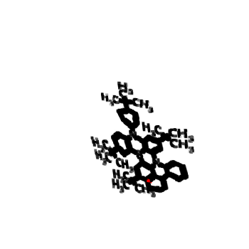 CC(C)(C)c1ccc(N2c3ccc(C(C)(C)C)cc3B3c4cc(C(C)(C)C)ccc4N(c4ccccc4-c4ccccc4)c4cc(C(C)(C)C)cc2c43)cc1